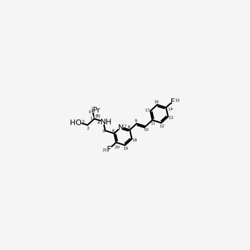 CC(C)[C@H](CO)NCc1nc(C=Cc2ccc(F)cc2)ccc1F